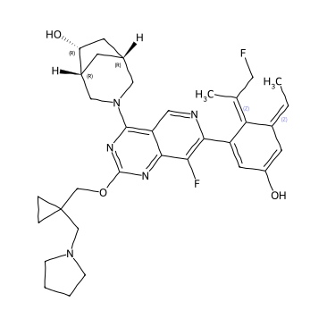 C/C=c1/cc(O)cc(-c2ncc3c(N4C[C@@H]5C[C@H](C4)[C@H](O)C5)nc(OCC4(CN5CCCC5)CC4)nc3c2F)/c1=C(\C)CF